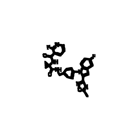 Cc1nc(-c2cc3cc(F)ccc3n2-c2ccc(CNC(=O)C3(NC(=O)c4cccnc4F)CC3)cc2)no1